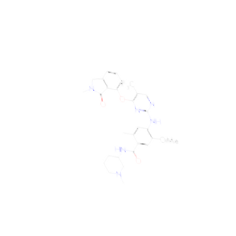 COc1cc(C(=O)N[C@H]2CCCN(C)C2)c(C)cc1Nc1ncc(C(F)(F)F)c(Oc2cccc3c2C(=O)N(C)C3)n1